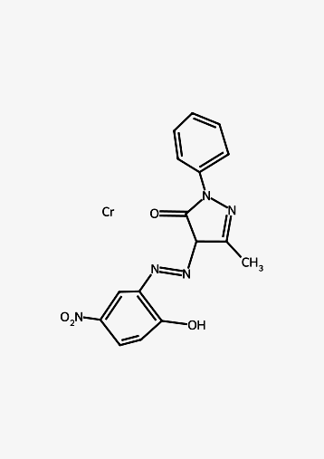 CC1=NN(c2ccccc2)C(=O)C1N=Nc1cc([N+](=O)[O-])ccc1O.[Cr]